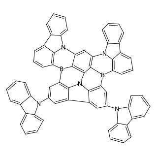 c1ccc2c(c1)c1ccccc1n2-c1cc2c3c(c1)c1cc(-n4c5ccccc5c5ccccc54)cc4c1n3-c1c3c(cc5c1B4c1cccc4c6ccccc6n-5c14)-n1c4ccccc4c4cccc(c41)B32